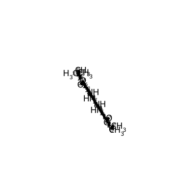 CN(C)CCOC(=O)CCCCNCCNCCNCCNCCCCC(=O)OCCCC(C)(C)C